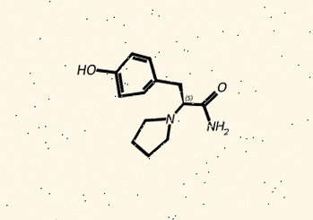 NC(=O)[C@H](Cc1ccc(O)cc1)N1CCCC1